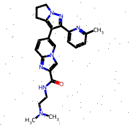 Cc1cccc(-c2nn3c(c2-c2ccc4nc(C(=O)NCCN(C)C)cn4c2)CCC3)n1